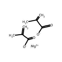 C=C(C)C(=O)[O-].C=C(C)C(=O)[O-].[Mg+2]